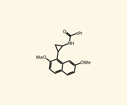 CCCC(=O)NC1CC1c1c(OC)ccc2ccc(OC)cc12